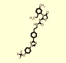 CCc1ccc(C)cc1N1C(=O)CSC1=NC(=O)NCCc1ccc(-c2ncn(-c3ccc(OC(F)(F)F)cc3)n2)cc1